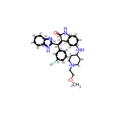 COCCN1CCC(Nc2ccc3c(c2)/C(=C(\c2cccc(F)c2)c2nc4ccccc4[nH]2)C(=O)N3)CC1